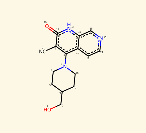 N#Cc1c(N2CCC(CO)CC2)c2ccncc2[nH]c1=O